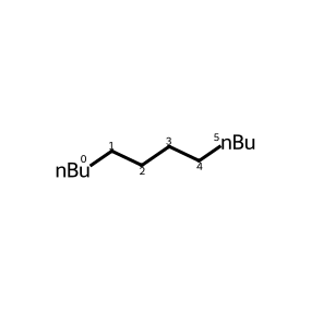 C[CH]CCCCCCC[CH]CC